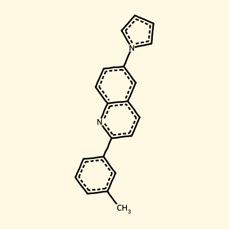 Cc1cccc(-c2ccc3cc(-n4cccc4)ccc3n2)c1